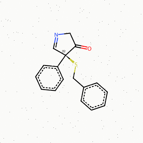 O=C1CN=C[C@@]1(SCc1ccccc1)c1ccccc1